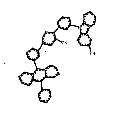 N#Cc1ccc2c(c1)c1ccccc1n2-c1cccc(-c2ccc(-c3cccc(-c4c5ccccc5c(-c5ccccc5)c5ccccc45)c3)cc2C#N)c1